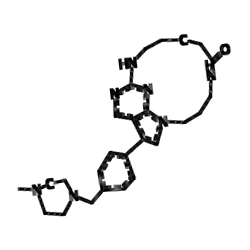 CN1CCN(Cc2ccc(-c3cn4c5nc(ncc35)NCCCCC(=O)NCCC4)cc2)CC1